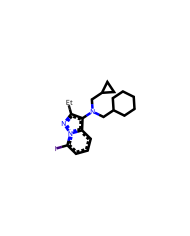 CCc1nn2c(I)cccc2c1N(CC1CCCCC1)CC1CC1